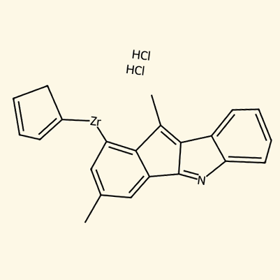 CC1=C2C(=Nc3ccccc32)c2cc(C)c[c]([Zr][C]3=CC=CC3)c21.Cl.Cl